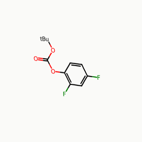 CC(C)(C)OC(=O)Oc1ccc(F)cc1F